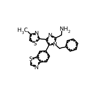 Cc1csc(-c2nc(CN)n(Cc3ccccc3)c2-c2ccc3ncsc3c2)n1